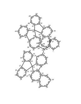 c1ccc(N(c2ccc3c(c2)C2(c4ccccc4-c4ccccc42)c2ccc4ccccc4c2-3)c2ccc3c(c2)C2(c4ccccc4-3)c3ccccc3-c3ccc4ccccc4c32)cc1